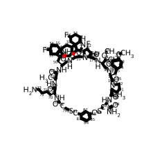 COc1ccc(C[C@@H]2NC(=O)[C@H]([C@H](C)OC)NC(=O)[C@@H]3C[C@H](F)CN3C(=O)[C@H](CC3CNC4CCC(F)CC34C3CCCCCC3)NC(=O)[C@H](Cc3c[nH]c4ccc(F)cc34)NC(=O)[C@@H](C)NC(=O)[C@H](CCCCN)NC(=O)CCSCc3cccc(c3)CSC[C@@H](C(N)=O)NC(=O)[C@]3(C)CCCN3C2=O)cc1